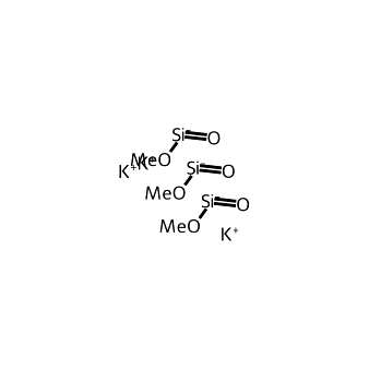 CO[Si-]=O.CO[Si-]=O.CO[Si-]=O.[K+].[K+].[K+]